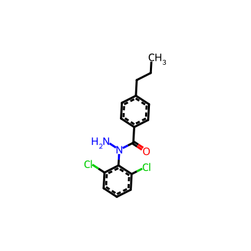 CCCc1ccc(C(=O)N(N)c2c(Cl)cccc2Cl)cc1